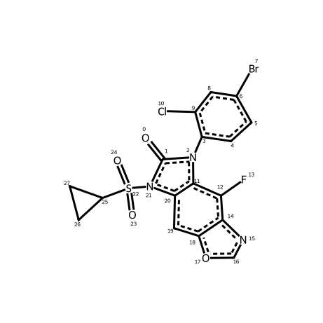 O=c1n(-c2ccc(Br)cc2Cl)c2c(F)c3ncoc3cc2n1S(=O)(=O)C1CC1